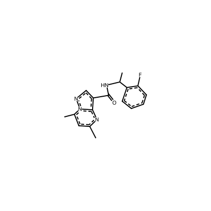 Cc1cc(C)n2ncc(C(=O)NC(C)c3ccccc3F)c2n1